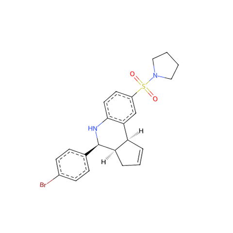 O=S(=O)(c1ccc2c(c1)[C@H]1C=CC[C@H]1[C@@H](c1ccc(Br)cc1)N2)N1CCCC1